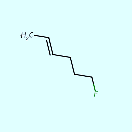 [CH2]/C=C/CCCF